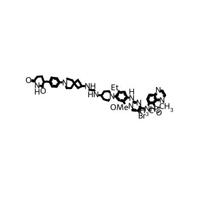 CCc1cc(Nc2ncc(Br)c(Nc3ccc4nccnc4c3P(C)(C)=O)n2)c(OC)cc1N1CCC(NCCNC2CC3(CCN(c4ccc(C5CCC(=O)NC5=O)cc4)CC3)C2)CC1